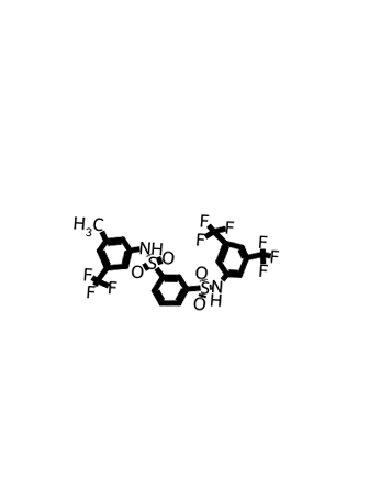 Cc1cc(NS(=O)(=O)c2cccc(S(=O)(=O)Nc3cc(C(F)(F)F)cc(C(F)(F)F)c3)c2)cc(C(F)(F)F)c1